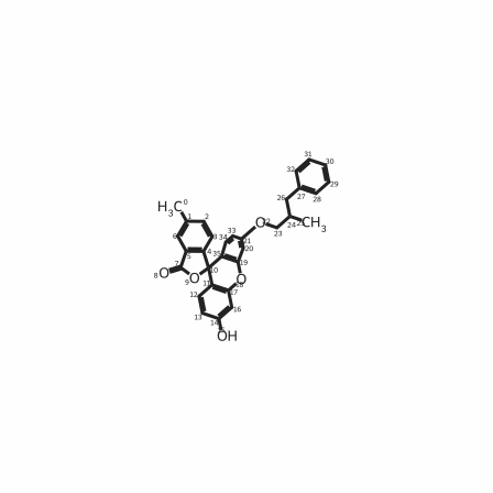 Cc1ccc2c(c1)C(=O)OC21c2ccc(O)cc2Oc2cc(OCC(C)Cc3ccccc3)ccc21